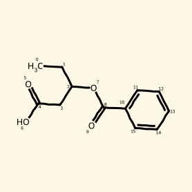 CCC(CC(=O)O)OC(=O)c1ccccc1